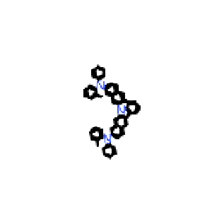 Cc1ccccc1N(c1ccccc1)c1ccc2cc3c4cccc5c6cc7ccc(N(c8ccccc8)c8ccccc8C)cc7cc6n(c3cc2c1)c45